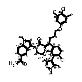 Cc1cc(OCCCc2c3n(c4c(-c5c(C)nn(C)c5C)c(Cl)ccc24)[C@H](C)CN(c2cn(C)c4ccc(C(N)=O)cc24)C3=O)cc(C)c1Cl